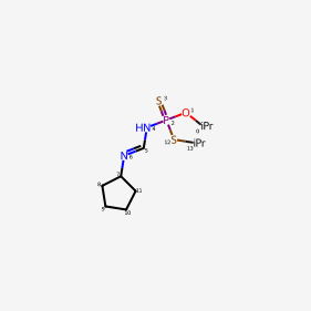 CC(C)OP(=S)(NC=NC1CCCC1)SC(C)C